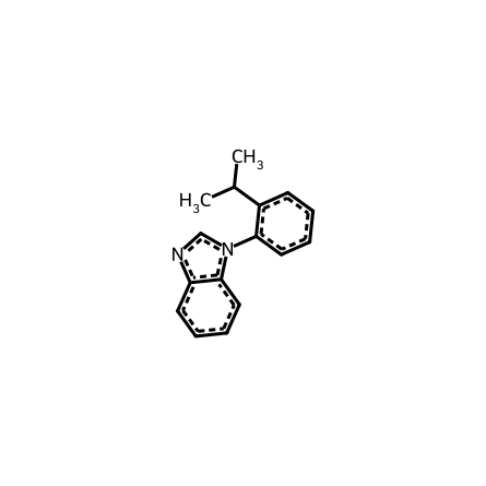 CC(C)c1ccccc1-n1cnc2ccccc21